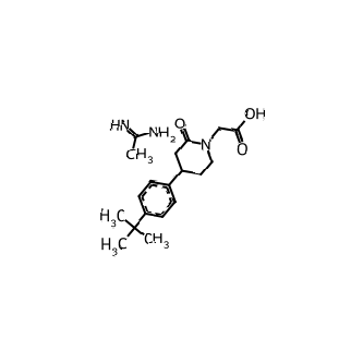 CC(=N)N.CC(C)(C)c1ccc(C2CCN(CC(=O)O)C(=O)C2)cc1